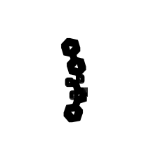 O=C(Oc1ccc(-c2ccccc2)cc1)c1ncc(-c2ccccc2)o1